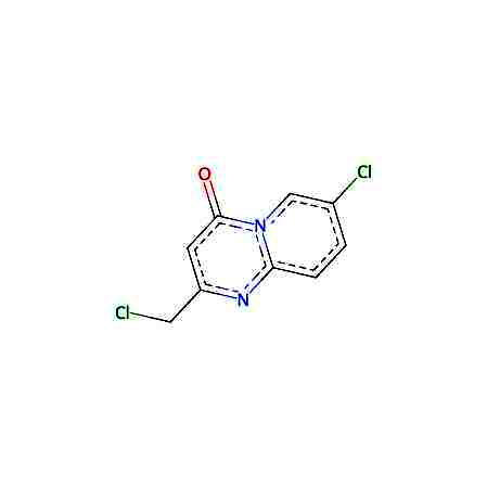 O=c1cc(CCl)nc2ccc(Cl)cn12